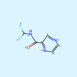 O=C(NC(F)F)c1cnccn1